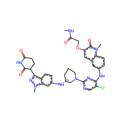 CNC(=O)COc1cc2cc(Nc3nc(N4CCC[C@@H](Nc5ccc6c(C7CCC(=O)NC7=O)nn(C)c6c5)C4)ncc3Cl)ccc2n(C)c1=O